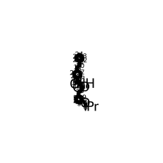 CC(C)Oc1cccc(C=CS(=O)(=O)NC(=O)N2CCC(CCc3ccccc3)CC2)c1